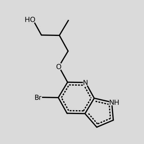 CC(CO)COc1nc2[nH]ccc2cc1Br